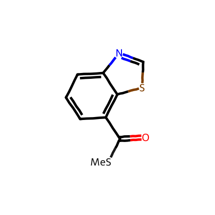 CSC(=O)c1cccc2ncsc12